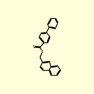 S=C(SCc1ccc2ccccc2c1)c1ccc(-c2ccccc2)cc1